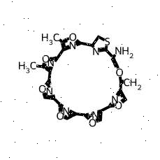 C=C1O/C=C(\N)C2=NC(CS2)c2nc(c(C)o2)-c2nc(c(C)o2)-c2nc(co2)-c2nc(co2)-c2nc(co2)-c2nc1co2